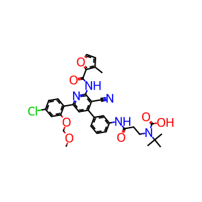 COCOc1cc(Cl)ccc1-c1cc(-c2cccc(NC(=O)CCN(C(=O)O)C(C)(C)C)c2)c(C#N)c(NC(=O)c2occc2C)n1